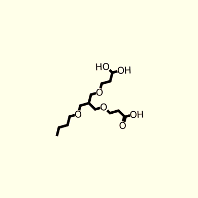 CCCCOCC(COCCC(=O)O)COCCC(O)O